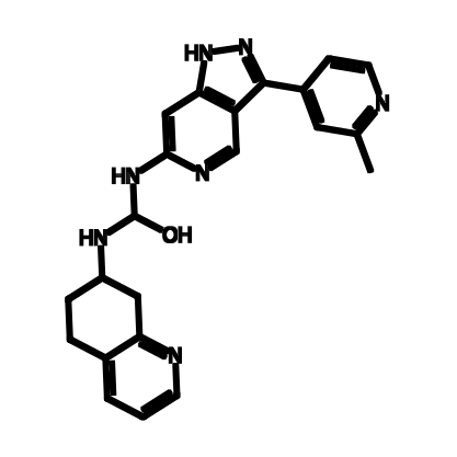 Cc1cc(-c2n[nH]c3cc(NC(O)NC4CCc5cccnc5C4)ncc23)ccn1